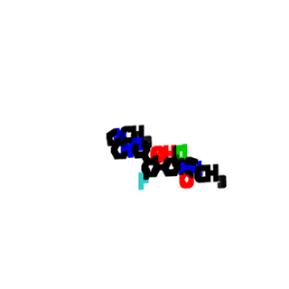 CN1CCCC12CCCN(c1cc(-c3cc(F)cc(-c4ccc(-n5ccn(C)c5=O)c(Cl)c4)c3O)ccn1)C2